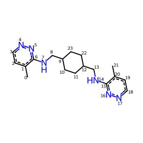 Cc1ccnnc1NCC1CCC(CNc2nnccc2C)CC1